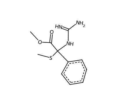 COC(=O)C(NC(=N)N)(SC)c1ccccc1